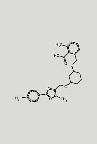 Cc1ccc(-c2nc(CO[C@@H]3CCC[C@H](OCc4cccc(C)c4C(=O)O)C3)c(C)o2)cc1